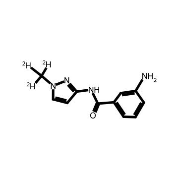 [2H]C([2H])([2H])n1ccc(NC(=O)c2cccc(N)c2)n1